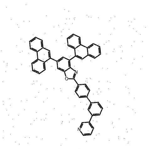 c1cncc(-c2cccc(-c3ccc(-c4nc5c(-c6cc7ccccc7c7ccccc67)cc(-c6cc7ccccc7c7ccccc67)cc5o4)cc3)c2)c1